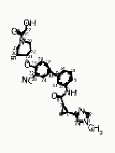 Cn1cnc(C2CC2C(=O)Nc2cccc(-c3ccc(O[C@H]4CCN(C(=O)CO)C[C@H]4F)c(C#N)c3)c2)n1